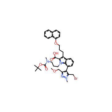 COCc1nn(C)c(CBr)c1-c1cccc2c(CCCOc3cccc4ccccc34)c(C(=O)O)n(CCCN(C)C(=O)OC(C)(C)C)c12